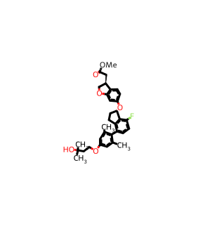 COC(=O)C[C@@H]1COc2cc(OC3CCc4c(-c5c(C)cc(OCCC(C)(C)O)cc5C)ccc(F)c43)ccc21